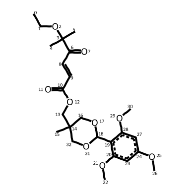 CCOC(C)(C)C(=O)/C=C/C(=O)OCC1(C)COC(c2c(OC)cc(OC)cc2OC)OC1